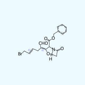 O=C/C(C/C=C/CBr)=C1/O[C@@H]2CC(=O)N2C1C(=O)OCc1ccccc1